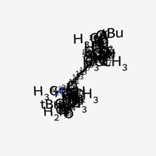 C=C(/C=C\C=C/C)[C@@H](COCCCCCCCCCCOC[C@@H](NC(=O)[C@H]1N2C(=O)[C@@H](NC(=O)CN(C)C(=O)OC(C)(C)C)CCS[C@H]2CC1(C)C)c1ccccc1)NC(=O)[C@H]1N2C(=O)CC(C[C@@H](C(N)=O)N(C)C(=O)OC(C)(C)C)CS[C@H]2CC1(C)C